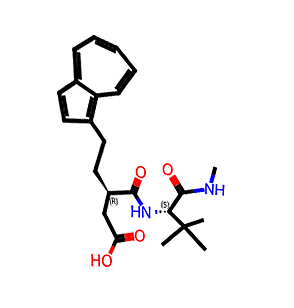 CNC(=O)[C@@H](NC(=O)[C@H](CCc1ccc2cccccc1-2)CC(=O)O)C(C)(C)C